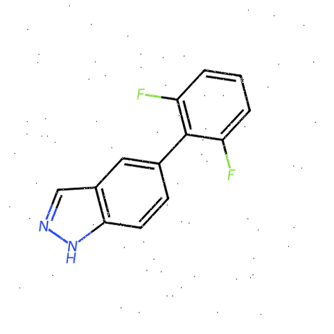 Fc1cccc(F)c1-c1ccc2[nH]ncc2c1